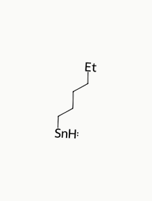 CCCCC[CH2][SnH]